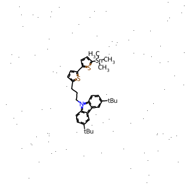 CC(C)(C)c1ccc2c(c1)c1cc(C(C)(C)C)ccc1n2CCCc1ccc(-c2cc[c]([Sn]([CH3])([CH3])[CH3])s2)s1